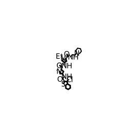 CCn1cc(NC(=O)c2cc(NC(=O)c3sc4ccccc4c3Cl)cn2C)cc1C(=O)NCCN1CCCCC1